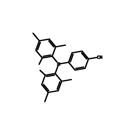 Cc1cc(C)[c]([Bi]([c]2ccc(C#N)cc2)[c]2c(C)cc(C)cc2C)c(C)c1